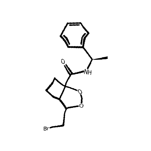 C[C@@H](NC(=O)C12CCC1C(CBr)OO2)c1ccccc1